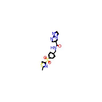 Cc1nc(S(=O)(=O)c2ccc(CNC(=O)c3cnc4nccn4c3)cc2)cs1